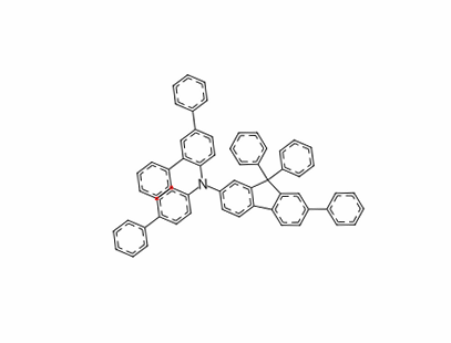 c1ccc(-c2ccc(N(c3ccc4c(c3)C(c3ccccc3)(c3ccccc3)c3cc(-c5ccccc5)ccc3-4)c3ccc(-c4ccccc4)cc3-c3ccccc3)cc2)cc1